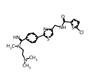 CN(C)CCN(C)C(=N)c1ccc(-c2nc(CNC(=O)c3ccc(Cl)s3)cs2)cc1